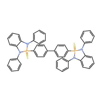 S=P1(c2ccc(-c3ccc(P4(=S)N(c5ccccc5)c5ccccc5N4c4ccccc4)cc3)cc2)N(c2ccccc2)c2ccccc2N1c1ccccc1